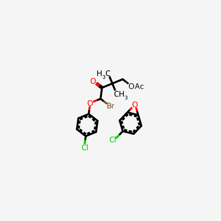 CC(=O)OCC(C)(C)C(=O)C(Br)Oc1ccc(Cl)cc1.Clc1ccc2c(c1)O2